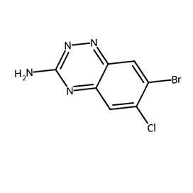 Nc1nnc2cc(Br)c(Cl)cc2n1